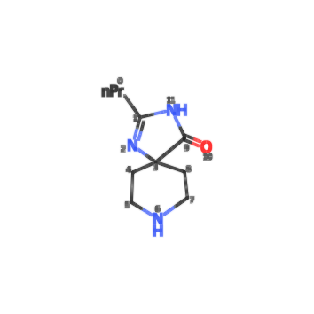 CCCC1=NC2(CCNCC2)C(=O)N1